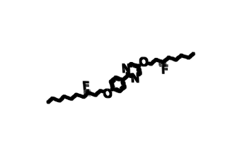 CCCCCCC[C@@H](F)CCOc1ccc(-c2ncc(OCC[C@H](F)CCCCC)cn2)cc1